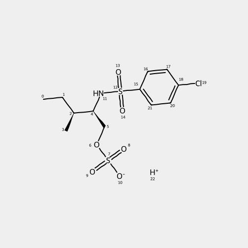 CC[C@H](C)[C@H](COS(=O)(=O)[O-])NS(=O)(=O)c1ccc(Cl)cc1.[H+]